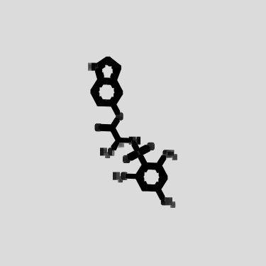 Cc1cc(C)c(S(=O)(=O)N[C@@H](C)C(=O)Oc2ccc3[nH]ccc3c2)c(C)c1